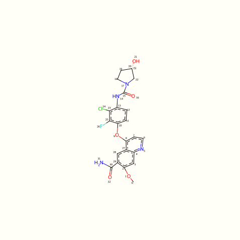 COc1cc2nccc(Oc3ccc(NC(=O)N4CC[C@H](O)C4)c(Cl)c3F)c2cc1C(N)=O